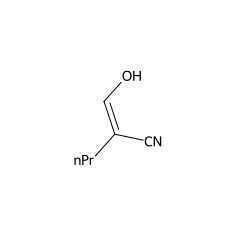 CCC/C(C#N)=C/O